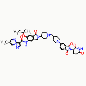 Cc1cnc2c(C(=O)Nc3cc4c(cc3OC(C)C)C(=O)N(C3CCN(CC5CCN(c6ccc7c(c6)C(=O)N(C6CCC(=O)NC6=O)C7=O)CC5)CC3)C4)cnn2c1